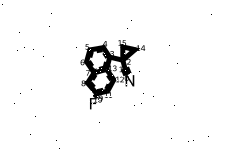 N#CC1(c2cccc3cc(F)ccc23)CC1